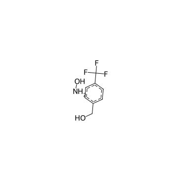 NO.OCc1ccc(C(F)(F)F)cc1